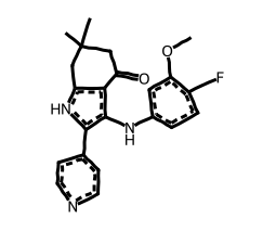 COc1cc(Nc2c(-c3ccncc3)[nH]c3c2C(=O)CC(C)(C)C3)ccc1F